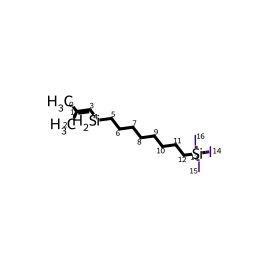 CC(C)=C[SiH2]CCCCCCCC[Si](I)(I)I